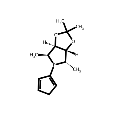 C[C@H]1[C@H]2OC(C)(C)O[C@@H]2[C@H](C)P1C1=CCC=C1